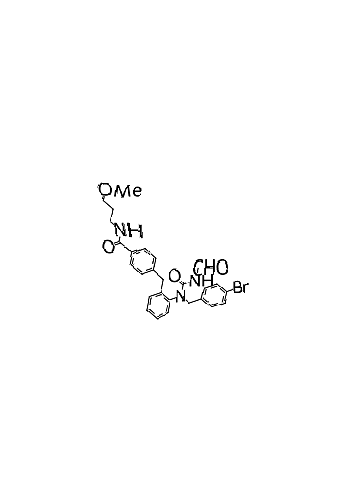 COCCCNC(=O)c1ccc(Cc2ccccc2N(Cc2ccc(Br)cc2)C(=O)NC=O)cc1